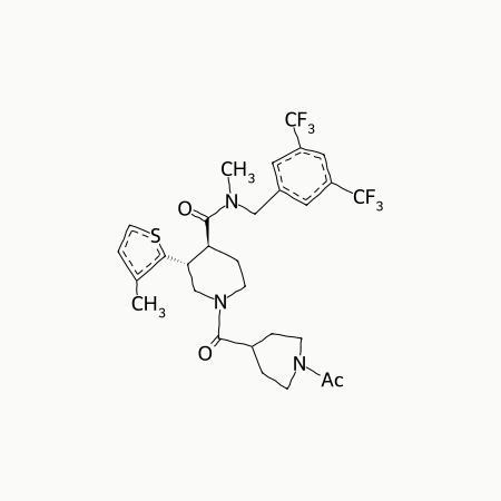 CC(=O)N1CCC(C(=O)N2CC[C@H](C(=O)N(C)Cc3cc(C(F)(F)F)cc(C(F)(F)F)c3)[C@@H](c3sccc3C)C2)CC1